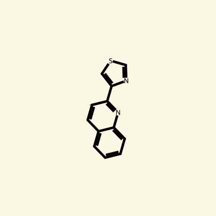 [c]1cc2ccccc2nc1-c1cscn1